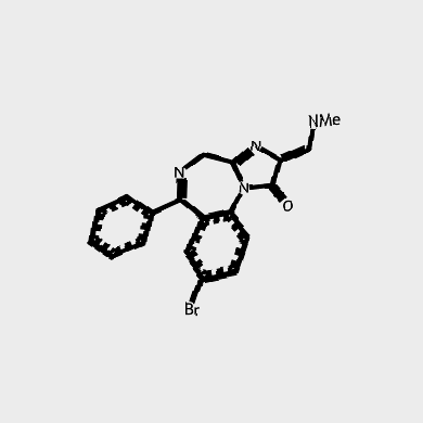 CN/C=C1\N=C2CN=C(c3ccccc3)c3cc(Br)ccc3N2C1=O